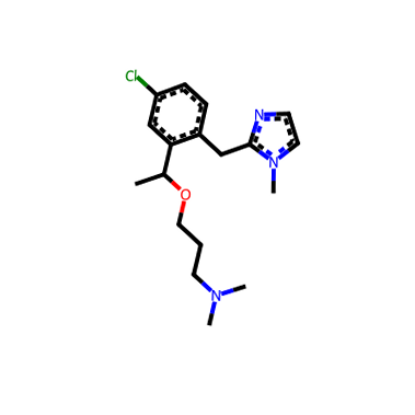 CC(OCCCN(C)C)c1cc(Cl)ccc1Cc1nccn1C